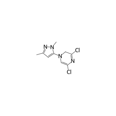 Cc1cc(N2C=C(Cl)N=C(Cl)C2)n(C)n1